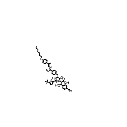 C=N/C(=N\C=C(/C)c1ccc(OCCCCCCC)cc1)c1ccc(C[C@H](NC(=O)c2ccc(C(C)(C)C)s2)C(=O)NC(C(=O)O)C(O)c2ccc(C#N)cc2)cc1